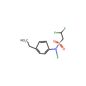 O=C(O)Cc1ccc(N(F)S(=O)(=O)CC(F)F)cc1